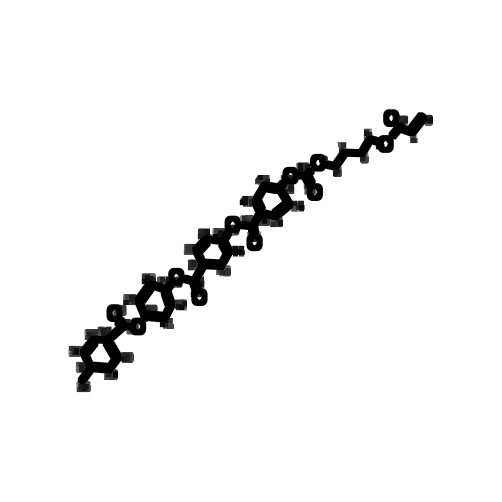 C=CC(=O)OCCCCOC(=O)Oc1ccc(C(=O)Oc2ccc(C(=O)Oc3ccc(OC(=O)c4ccc(C)cc4)cc3)cc2)cc1